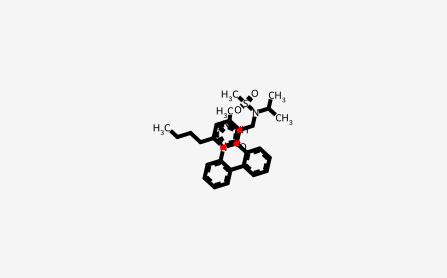 CCCCc1cc(C)c(CN(C(C)C)S(C)(=O)=O)c(=O)n1-c1ccccc1-c1ccccc1-c1nnn[nH]1